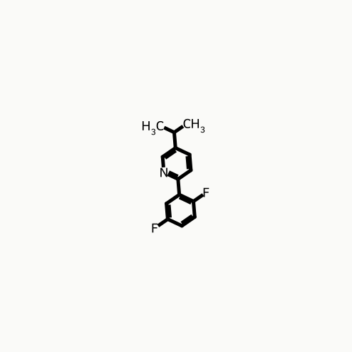 CC(C)c1ccc(-c2cc(F)ccc2F)nc1